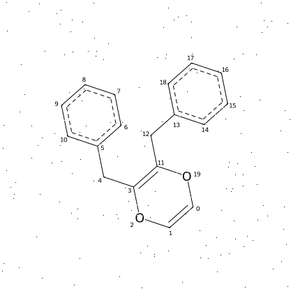 C1=COC(Cc2ccccc2)=C(Cc2ccccc2)O1